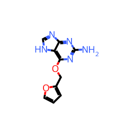 Nc1nc(OCc2ccco2)c2[nH]cnc2n1